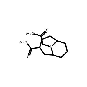 COC(=O)CN1C2CCCC1CC(C(=O)OC)CC2